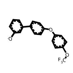 [O]c1cccc(-c2ccc(Oc3ccc(OC(F)(F)F)cc3)cc2)c1